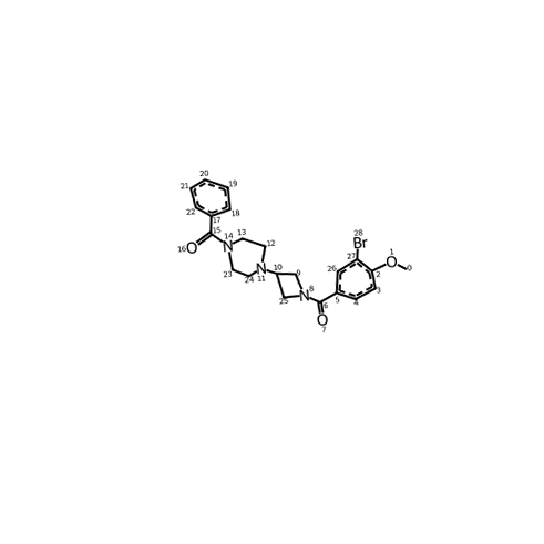 COc1ccc(C(=O)N2CC(N3CCN(C(=O)c4ccccc4)CC3)C2)cc1Br